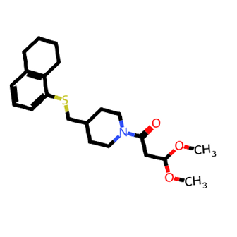 COC(CC(=O)N1CCC(CSc2cccc3c2CCCC3)CC1)OC